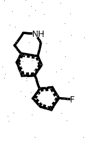 Fc1cccc(-c2ccc3c(c2)CNCC3)c1